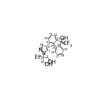 CCC(CO)(CO)n1cc(-c2cccc3c2-c2ccccc2C3(O)C(F)(F)F)cn1